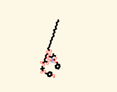 CCCCCCCCCCCCCCCCCC(=O)OCCC(CC(C(=O)O)C(=O)OCC(C)(C)C(=O)OCc1ccc(OC)cc1)OC(=O)[C@@H](NC(=O)OCc1ccccc1)C(C)C